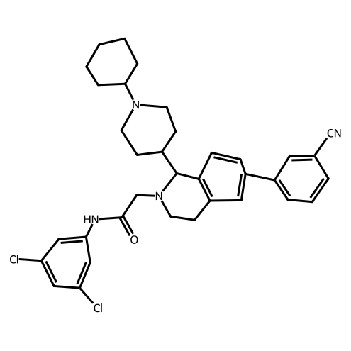 N#Cc1cccc(-c2ccc3c(c2)CCN(CC(=O)Nc2cc(Cl)cc(Cl)c2)C3C2CCN(C3CCCCC3)CC2)c1